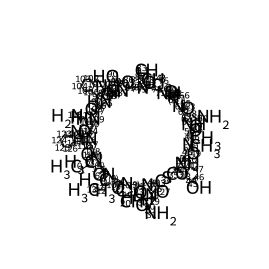 CCCC[C@H]1C(=O)N(C)[C@@H](CCCC)C(=O)N[C@@H](CC(C)C)C(=O)N[C@H](C(=O)NCC(N)=O)CSCC(=O)N[C@@H](Cc2ccc(O)cc2)C(=O)N(C)[C@@H](C)C(=O)N[C@@H](CC(N)=O)C(=O)N2CCC[C@H]2C(=O)NC2(CCCC2)C(=O)N[C@@H](CC(C)C)C(=O)N2C[C@H](O)C[C@H]2C(=O)NC(Cc2c[nH]c3ccccc23)C(=O)N[C@@H](CCN)C(=O)N[C@@H](Cc2c[nH]c3ccccc23)C(=O)N1C